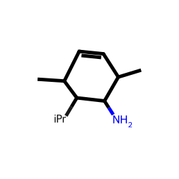 CC(C)C1C(C)C=CC(C)C1N